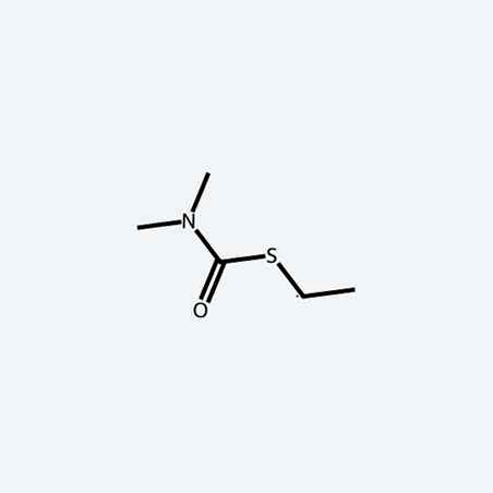 C[CH]SC(=O)N(C)C